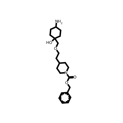 NC1CCC(O)(COCCC2CCN(C(=O)OCc3ccccc3)CC2)CC1